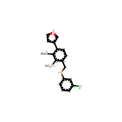 COc1c(-c2ccoc2)ccc(CSc2cccc(Cl)c2)c1C(=O)O